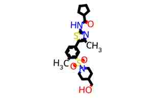 Cc1ccc(-c2sc(NC(=O)C3CCCC3)nc2C)cc1S(=O)(=O)N1CCC(CO)CC1